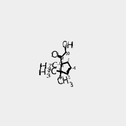 CC1(C)C=CC[C@]1(C)C(=O)CO